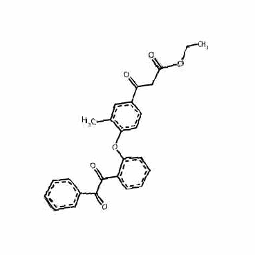 CCOC(=O)CC(=O)c1ccc(Oc2ccccc2C(=O)C(=O)c2ccccc2)c(C)c1